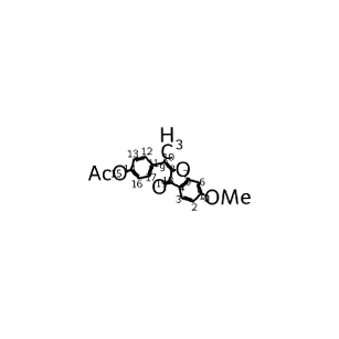 COc1ccc2c(c1)OC(=C(C)c1ccc(OC(C)=O)cc1)C2=O